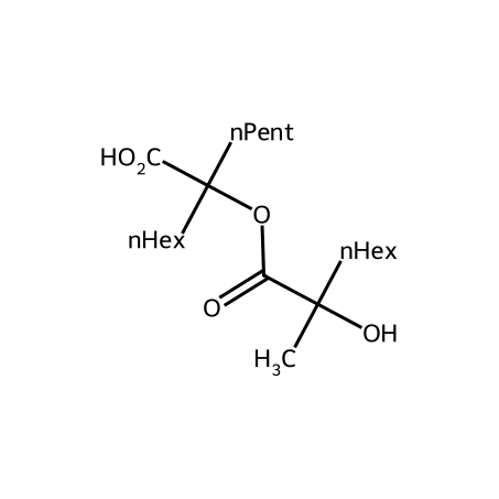 CCCCCCC(C)(O)C(=O)OC(CCCCC)(CCCCCC)C(=O)O